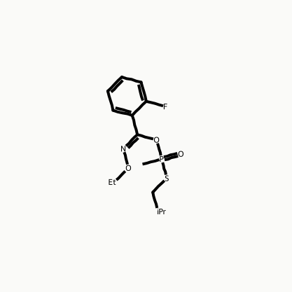 CCON=C(OP(C)(=O)SCC(C)C)c1ccccc1F